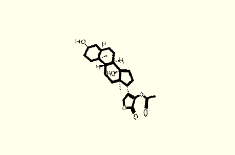 CC(=O)OC1=C([C@H]2CC[C@]3(O)[C@@H]4CC[C@@H]5C[C@@H](O)CC[C@]5(C)[C@H]4CC[C@]23C)COC1=O